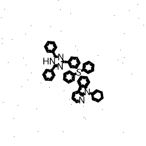 C1=CC(n2c3ccc(S(c4ccccc4)(c4ccccc4)c4cccc(C5=NC(c6ccccc6)NC(c6ccccc6)=N5)c4)cc3c3cccnc32)=CCC1